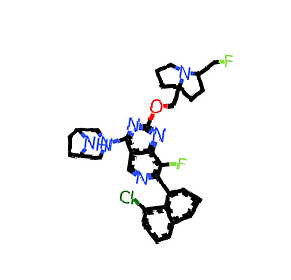 FCC1CCC2(COc3nc(N4CC5CCC(C4)N5)c4cnc(-c5cccc6cccc(Cl)c56)c(F)c4n3)CCCN12